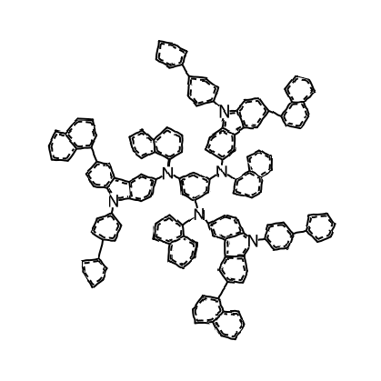 c1ccc(-c2ccc(-n3c4ccc(-c5cccc6ccccc56)cc4c4cc(N(c5cc(N(c6ccc7c(c6)c6cc(-c8cccc9ccccc89)ccc6n7-c6ccc(-c7ccccc7)cc6)c6cccc7ccccc67)cc(N(c6ccc7c(c6)c6cc(-c8cccc9ccccc89)ccc6n7-c6ccc(-c7ccccc7)cc6)c6cccc7ccccc67)c5)c5cccc6ccccc56)ccc43)cc2)cc1